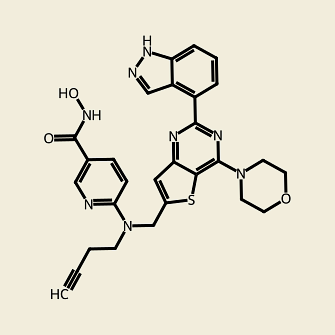 C#CCCN(Cc1cc2nc(-c3cccc4[nH]ncc34)nc(N3CCOCC3)c2s1)c1ccc(C(=O)NO)cn1